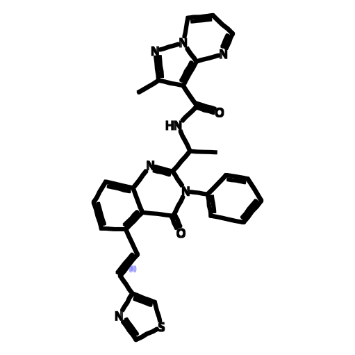 Cc1nn2cccnc2c1C(=O)NC(C)c1nc2cccc(/C=C/c3cscn3)c2c(=O)n1-c1ccccc1